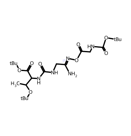 CC(OC(C)(C)C)C(NC(=O)NC/C(N)=N/OC(=O)CNC(=O)OC(C)(C)C)C(=O)OC(C)(C)C